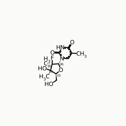 Cc1cn([C@@H]2O[C@@H](CO)[C@@](C)(O)[C@@]2(C)F)c(=O)[nH]c1=O